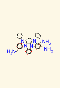 NCc1cccc(N(c2ccccc2)c2ccc(N(c3ccccc3)c3ccccc3)c(N(c3ccccc3)c3cccc(CN)c3)c2N(c2ccccc2)c2cccc(CN)c2)c1